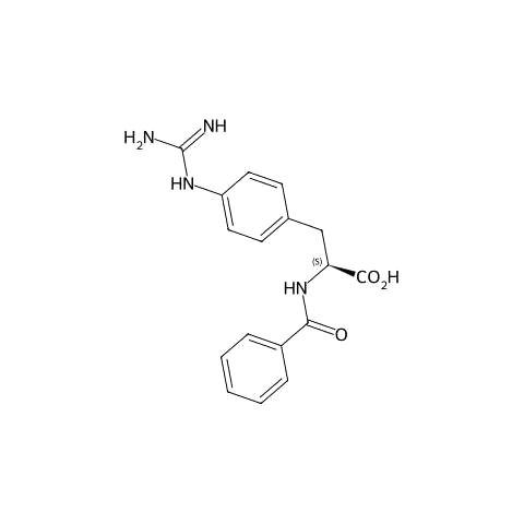 N=C(N)Nc1ccc(C[C@H](NC(=O)c2ccccc2)C(=O)O)cc1